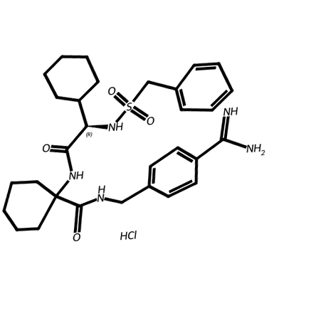 Cl.N=C(N)c1ccc(CNC(=O)C2(NC(=O)[C@H](NS(=O)(=O)Cc3ccccc3)C3CCCCC3)CCCCC2)cc1